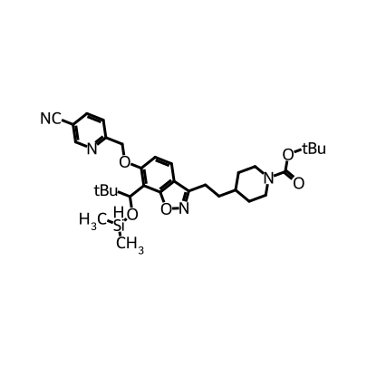 C[SiH](C)OC(c1c(OCc2ccc(C#N)cn2)ccc2c(CCC3CCN(C(=O)OC(C)(C)C)CC3)noc12)C(C)(C)C